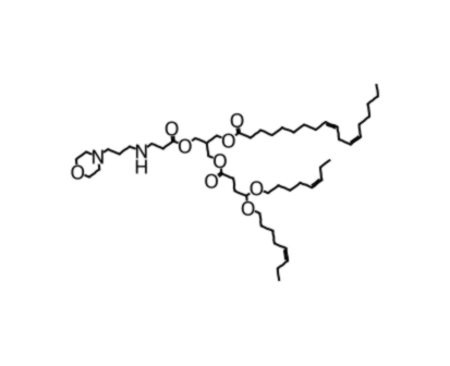 CC/C=C\CCCCOC(CCC(=O)OCC(COC(=O)CCCCCCC/C=C\C/C=C\CCCCC)COC(=O)CCNCCCN1CCOCC1)OCCCC/C=C\CC